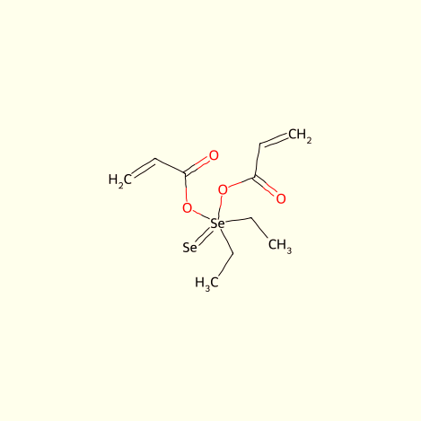 C=CC(=O)O[Se](=[Se])(CC)(CC)OC(=O)C=C